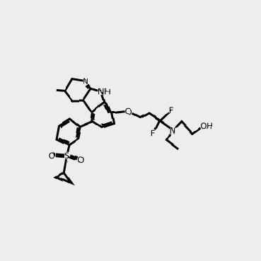 CCN(CCO)C(F)(F)CCOc1ccc(-c2cccc(S(=O)(=O)C3CC3)c2)c2c1NC1=NCC(C)CC12